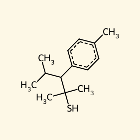 Cc1ccc(C(C(C)C)C(C)(C)S)cc1